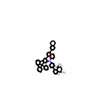 CC1(C)CCC(C)(C)c2c(-c3ccc(N(c4ccccc4)c4cc5c(cc4-c4ccc(-c6ccc7c(c6)CCCC7)cc4)-c4ccccc4C5(c4ccccc4)c4ccccc4)cc3)cccc21